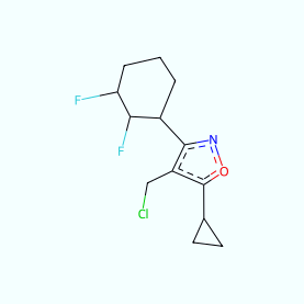 FC1CCCC(c2noc(C3CC3)c2CCl)C1F